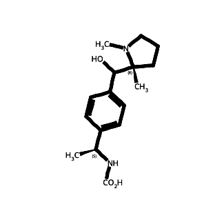 C[C@H](NC(=O)O)c1ccc(C(O)[C@@]2(C)CCCN2C)cc1